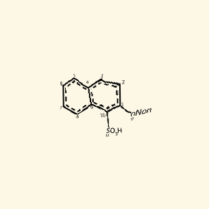 CCCCCCCCCc1ccc2ccccc2c1S(=O)(=O)O